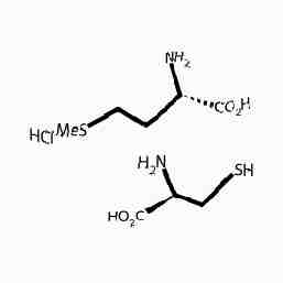 CSCC[C@H](N)C(=O)O.Cl.N[C@@H](CS)C(=O)O